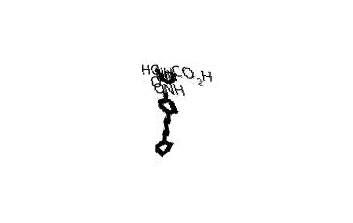 O=C(O)NCC(NC(=O)c1ccc(C#CC#Cc2ccccc2)cc1)C(=O)NO